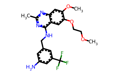 COCCOc1cc2c(NCc3cc(N)cc(C(F)(F)F)c3)nc(C)nc2cc1OC